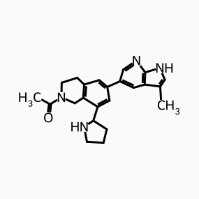 CC(=O)N1CCc2cc(-c3cnc4[nH]cc(C)c4c3)cc(C3CCCN3)c2C1